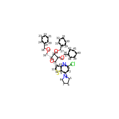 Clc1cc(N2CCCC2)c2scc([C@@H]3O[C@H](COCc4ccccc4)[C@@H](OCc4ccccc4)[C@H]3OCc3ccccc3)c2n1